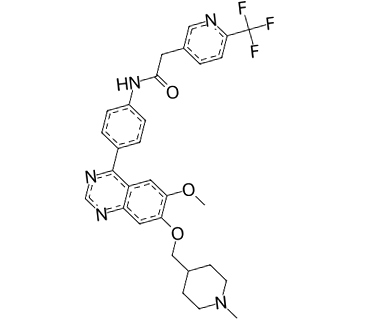 COc1cc2c(-c3ccc(NC(=O)Cc4ccc(C(F)(F)F)nc4)cc3)ncnc2cc1OCC1CCN(C)CC1